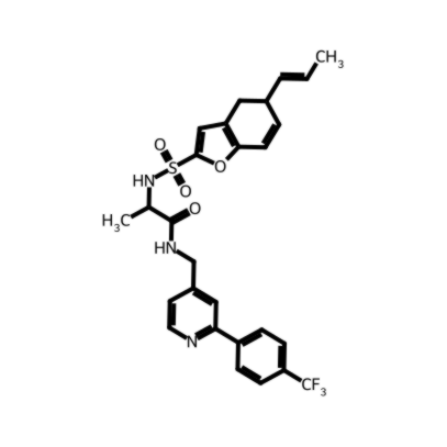 C/C=C/C1C=Cc2oc(S(=O)(=O)NC(C)C(=O)NCc3ccnc(-c4ccc(C(F)(F)F)cc4)c3)cc2C1